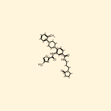 Cc1csc(C(=O)Nc2cc(C(=O)NCCCN3CCCC3=O)ccc2N2CCN(c3ccccc3C)CC2)n1